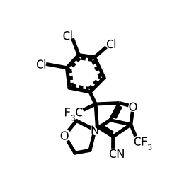 N#CC1=CC(c2cc(Cl)c(Cl)c(Cl)c2)(C(F)(F)F)C2=C(N3CCOC3)C1(C(F)(F)F)O2